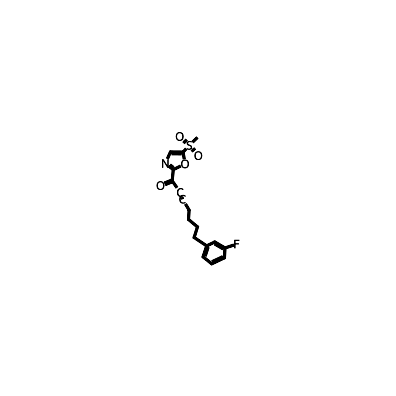 CS(=O)(=O)c1cnc(C(=O)CCCCCCc2cccc(F)c2)o1